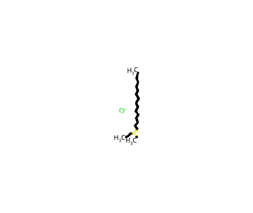 CCCCCCCCCCCCCCCC[S+](CC)CCC.[Cl-]